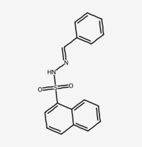 O=S(=O)(NN=Cc1ccccc1)c1cccc2ccccc12